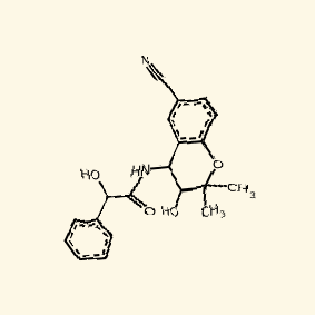 CC1(C)Oc2ccc(C#N)cc2C(NC(=O)C(O)c2ccccc2)C1O